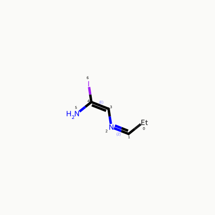 CC/C=N\C=C(/N)I